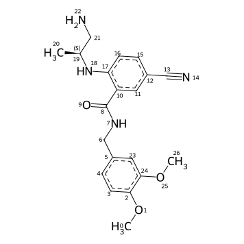 COc1ccc(CNC(=O)c2cc(C#N)ccc2N[C@@H](C)CN)cc1OC